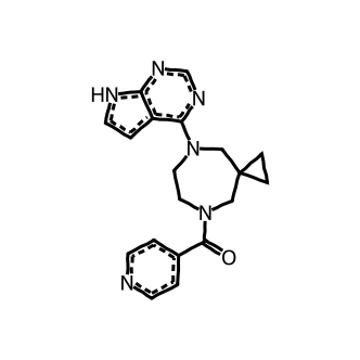 O=C(c1ccncc1)N1CCN(c2ncnc3[nH]ccc23)CC2(CC2)C1